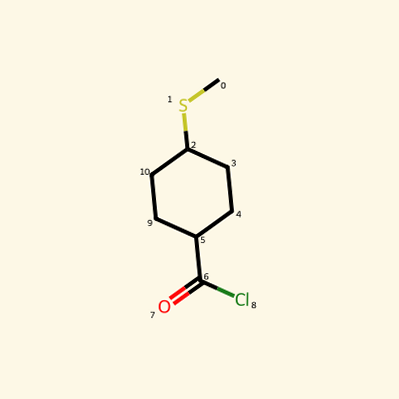 CSC1CCC(C(=O)Cl)CC1